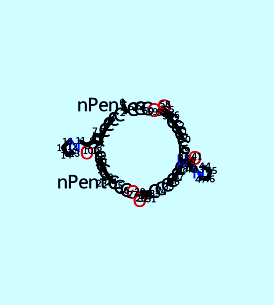 CCCCCC1CCCCC2CC(C(=O)CN3CCCC3)C2CCCCC(CCCCC)CCCOC(=O)C(C)(C)CCCCCCN(C(=O)CN2CCCC2)CCCCCCC(C)(C)C(=O)OCCC1